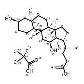 C[C@H](CCC(=O)O)[C@H]1CC[C@H]2[C@@H]3CC[C@@H]4C[C@H](O)CC[C@]4(C)[C@H]3C[C@H](O)[C@]12C.O=C(O)C(Cl)(Cl)Cl